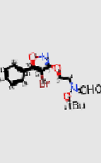 CC(C)(C)ON(C=O)CCOc1noc(-c2ccccc2)c1Br